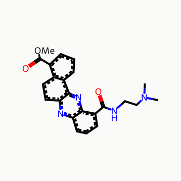 COC(=O)c1cccc2c1ccc1nc3cccc(C(=O)NCCN(C)C)c3nc12